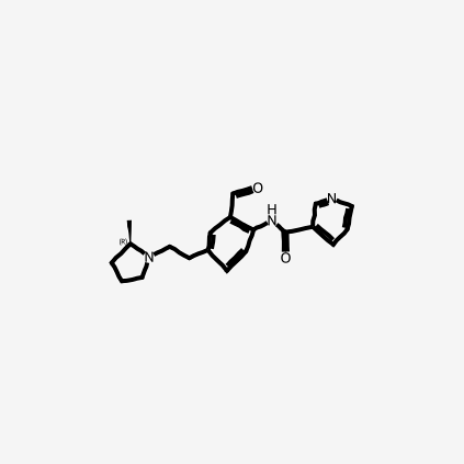 C[C@@H]1CCCN1CCc1ccc(NC(=O)c2cccnc2)c(C=O)c1